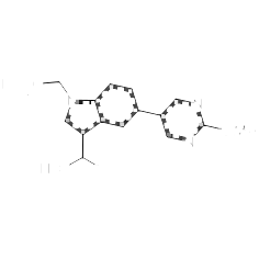 COc1ncc(-c2ccc3c(c2)c(C(C)O)cn3CC(=O)O)cn1